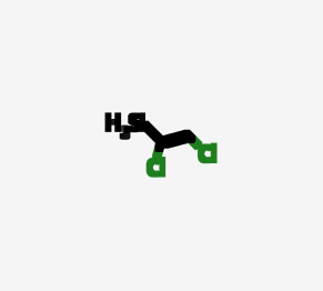 [SiH3]C(Cl)=CCl